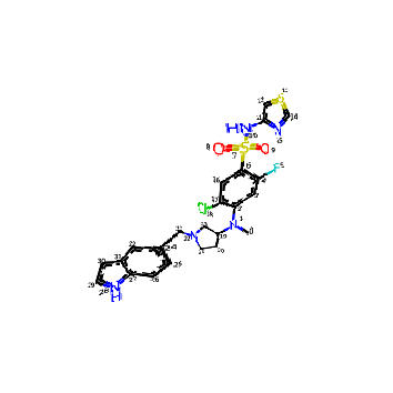 CN(c1cc(F)c(S(=O)(=O)Nc2cscn2)cc1Cl)C1CCN(Cc2ccc3[nH]ccc3c2)C1